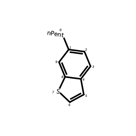 CCCCCc1ccc2ccsc2c1